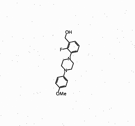 COc1ccc(N2CCN(c3cccc(CO)c3F)CC2)cc1